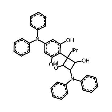 CC(C)C1(c2c(O)cc(N(c3ccccc3)c3ccccc3)cc2O)C(O)C(N(c2ccccc2)c2ccccc2)C1O